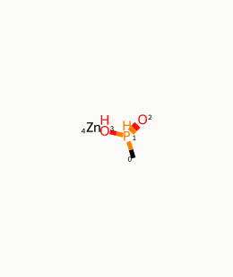 C[PH](=O)O.[Zn]